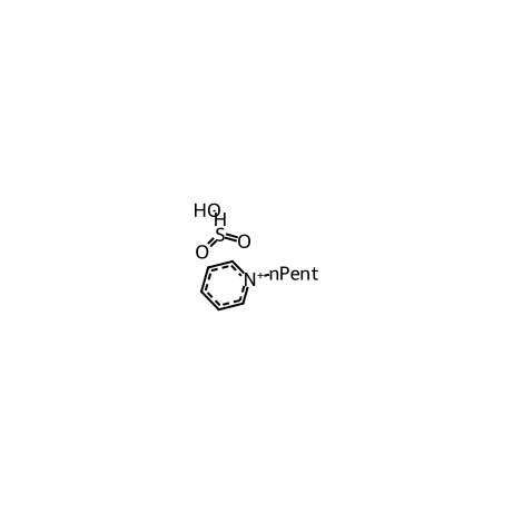 CCCCC[n+]1ccccc1.O=[SH](=O)O